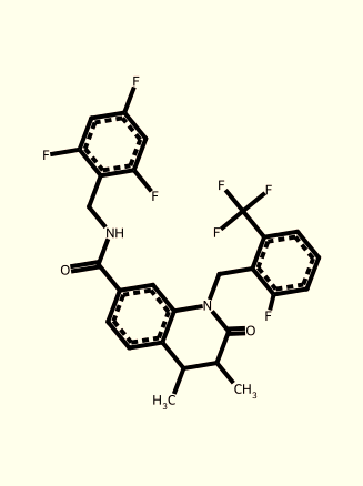 CC1C(=O)N(Cc2c(F)cccc2C(F)(F)F)c2cc(C(=O)NCc3c(F)cc(F)cc3F)ccc2C1C